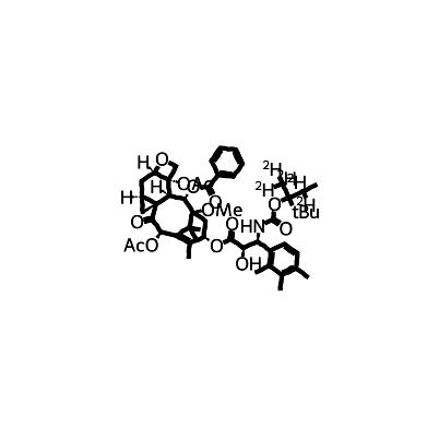 [2H]C([2H])([2H])C(OC(=O)N[C@@H](c1ccc(C)c(C)c1C)[C@@H](O)C(=O)O[C@H]1C[C@@]2(OC)[C@@H](OC(=O)c3ccccc3)[C@@H]3[C@]4(OC(C)=O)CO[C@@H]4C[C@@H]4C[C@@]43C(=O)[C@H](OC(C)=O)C(=C1C)C2(C)C)(C([2H])([2H])C)C(C)(C)C